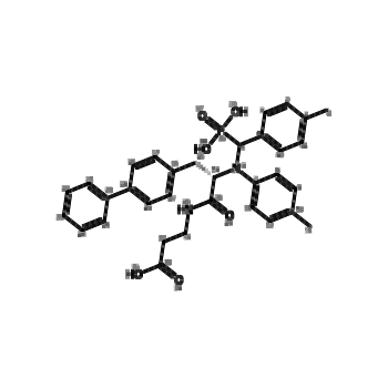 Cc1ccc(C(N(c2ccc(C)cc2)[C@@H](Cc2ccc(-c3ccccc3)cc2)C(=O)NCCC(=O)O)P(=O)(O)O)cc1